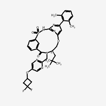 Cc1cccc(C)c1-c1cc2nc(n1)NS(=O)(=O)c1cccc(c1)C(=O)N(Cc1ncc(OC3CC(F)(F)C3)cn1)[C@H](CC(C)(C)C)CO2